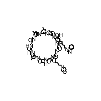 CC[C@@H]1NC(=O)[C@H]([C@H](O)[C@H](C)CCCCCn2cnc3ccccc32)NC(=O)[C@H](C(C)C)N(C)C(=O)[C@H](CC(C)C)N(C)C(=O)[C@H](CC(C)C)N(C)C(=O)[C@@H](C)NC(=O)[C@H](C)NC(=O)[C@H](CC(C)C)N(C)C(=O)[C@H](C(C)C)NC(=O)[C@H]([C@@H](C)OCCCCN2CCOCC2)N(C)C(=O)[C@@H](C)N(C)C1=O